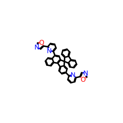 c1cc(-c2ccc3c(c2)C2(c4ccccc4-c4ccccc42)c2cc(-c4cccc(-c5cnco5)n4)c4ccccc4c2-3)nc(-c2cnco2)c1